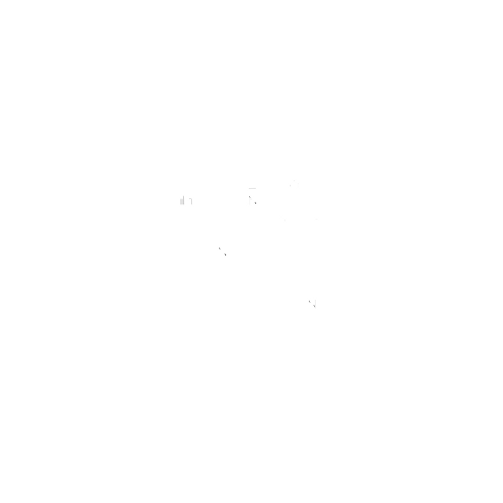 CC(C)C1Nc2ccncc2S(=O)(=O)N1